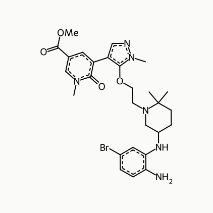 COC(=O)c1cc(-c2cnn(C)c2OCCN2CC(Nc3cc(Br)ccc3N)CCC2(C)C)c(=O)n(C)c1